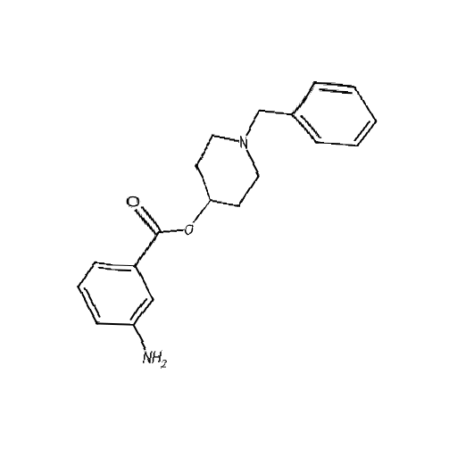 Nc1cccc(C(=O)OC2CCN(Cc3ccccc3)CC2)c1